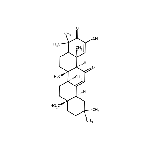 CC1(C)CC[C@]2(C(=O)O)CC[C@]3(C)C(=CC(=O)[C@@H]4[C@@]5(C)C=C(C#N)C(=O)C(C)(C)C5CC[C@]43C)[C@H]2C1